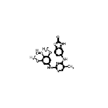 COc1cc(Nc2ncc(C)c(Nc3ccc4oc(=O)[nH]c4c3)n2)cc(OC)c1OC